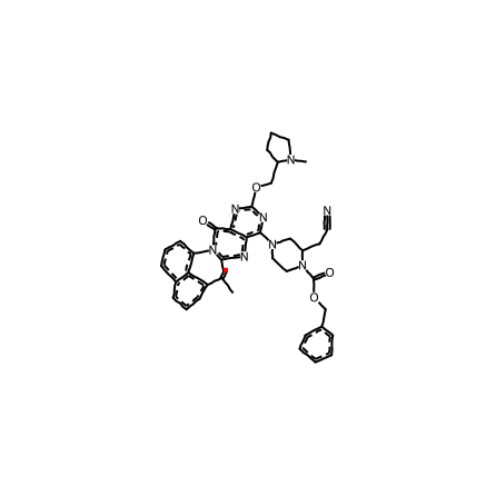 C=C(C)c1cccc2cccc(-n3c(C)nc4c(N5CCN(C(=O)OCc6ccccc6)C(CC#N)C5)nc(OCC5CCCN5C)nc4c3=O)c12